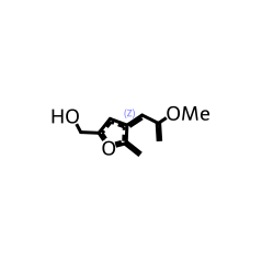 C=C(/C=c1/cc(CO)oc1=C)OC